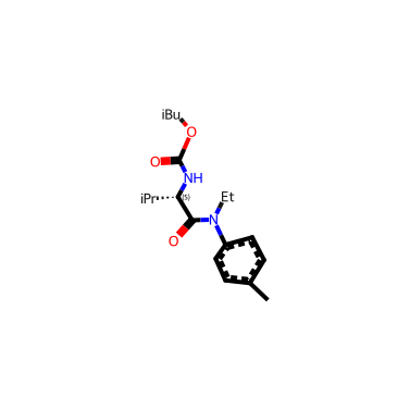 CCC(C)OC(=O)N[C@H](C(=O)N(CC)c1ccc(C)cc1)C(C)C